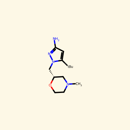 CN1CCO[C@H](Cn2nc(N)cc2C(C)(C)C)C1